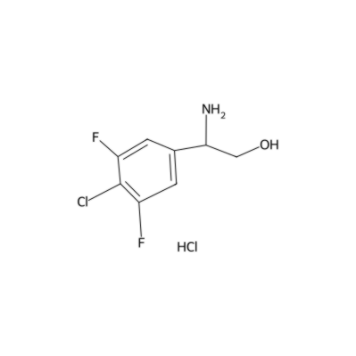 Cl.NC(CO)c1cc(F)c(Cl)c(F)c1